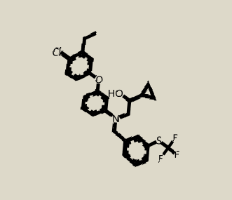 CCc1cc(Oc2cccc(N(Cc3cccc(SC(F)(F)F)c3)CC(O)C3CC3)c2)ccc1Cl